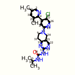 Cc1cnc(-c2cc(N3CCc4nc(NC(=O)NC(C)C)ncc4C3)ncc2Cl)c(C)c1